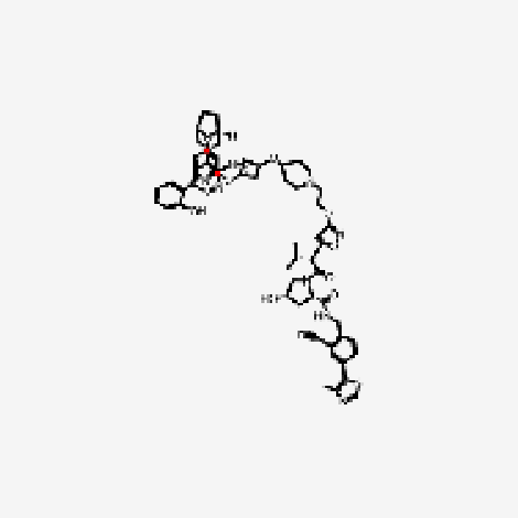 Cc1ncsc1-c1ccc(CNC(=O)[C@@H]2C[C@@H](O)CN2C(=O)[C@@H](c2cc(OCCN3CCC(OC4CC(Oc5cc(N6C7CC[C@@H]6CN(c6cc(-c8ccccc8O)nnc6N)C7)ccn5)C4)CC3)no2)C(C)C)c(C#N)c1